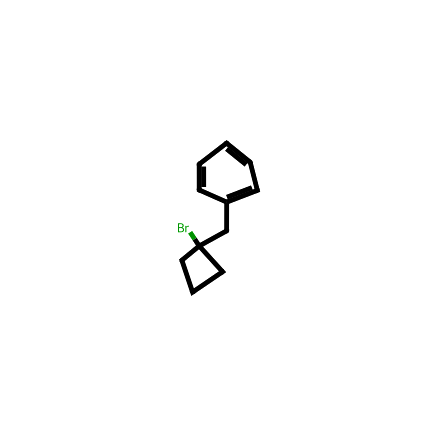 BrC1(Cc2ccccc2)CCC1